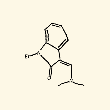 CCN1C(=O)C(=CN(C)C)c2ccccc21